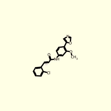 COc1cc(NC(=O)/C=C/c2ccccc2Cl)ccc1-c1cnco1